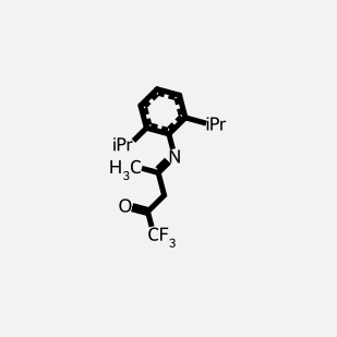 C/C(CC(=O)C(F)(F)F)=N\c1c(C(C)C)cccc1C(C)C